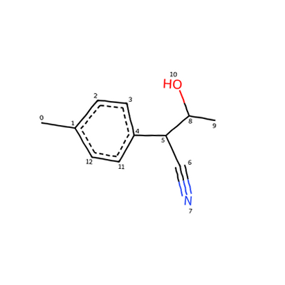 Cc1ccc(C(C#N)C(C)O)cc1